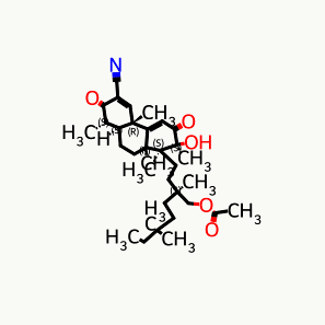 CCC(C)(C)CC[C@@](C)(CC[C@]1(C)[C@](C)(O)C(=O)C=C2[C@@]3(C)C=C(C#N)C(=O)[C@@H](C)[C@@H]3CC[C@]21C)COC(C)=O